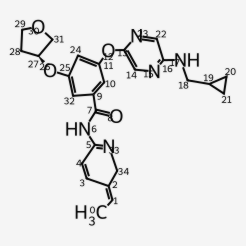 C/C=C1\C=CC(NC(=O)c2cc(Oc3cnc(NCC4CC4)cn3)cc(O[C@H]3CCOC3)c2)=NC1